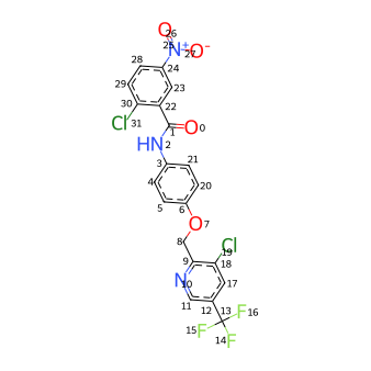 O=C(Nc1ccc(OCc2ncc(C(F)(F)F)cc2Cl)cc1)c1cc([N+](=O)[O-])ccc1Cl